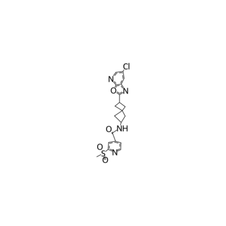 CS(=O)(=O)c1cc(C(=O)NC2CC3(C2)CC(c2nc4cc(Cl)cnc4o2)C3)ccn1